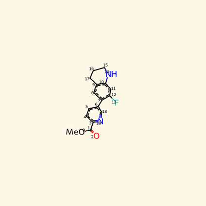 COC(=O)c1ccc(-c2cc3c(cc2F)NCCC3)cn1